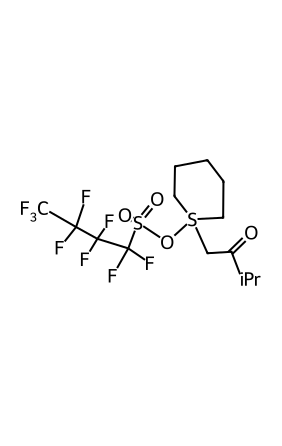 CC(C)C(=O)CS1(OS(=O)(=O)C(F)(F)C(F)(F)C(F)(F)C(F)(F)F)CCCCC1